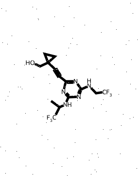 CC(Nc1nc(C#CC2(CO)CC2)nc(NCC(F)(F)F)n1)C(F)(F)F